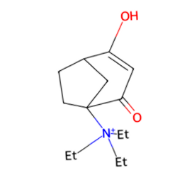 CC[N+](CC)(CC)C12CCC(C1)C(O)=CC2=O